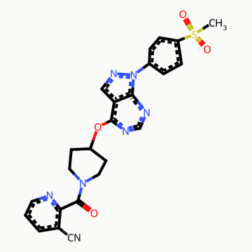 CS(=O)(=O)c1ccc(-n2ncc3c(OC4CCN(C(=O)c5ncccc5C#N)CC4)ncnc32)cc1